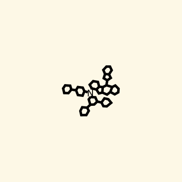 C1CCC(C2CCC(N(C3CC(C4CCCCC4)CC(C4CCCCC4)C3)C3CCCC4C3CC3CC5CCCCC5C(C5CC6CCCCC6C5)C34)CC2)CC1